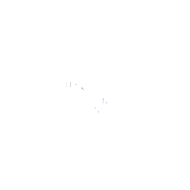 C[C@@H]1C=NN2CCCOC12